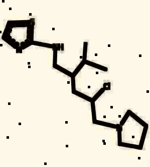 CC(C)C(CNc1nccs1)CC(Cl)CN1CCCC1